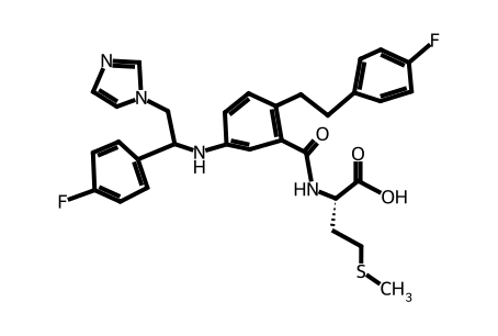 CSCC[C@H](NC(=O)c1cc(NC(Cn2ccnc2)c2ccc(F)cc2)ccc1CCc1ccc(F)cc1)C(=O)O